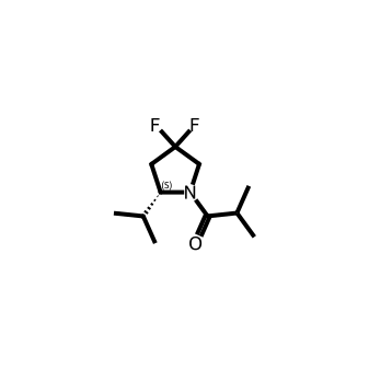 CC(C)C(=O)N1CC(F)(F)C[C@H]1C(C)C